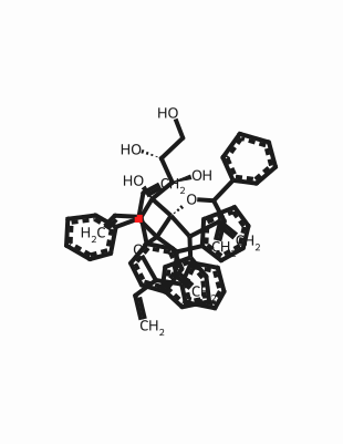 C=CC(OC(C(C=C)c1ccccc1)(C(C=C)c1ccccc1)[C@](OC(C=C)c1ccccc1)(C(C=C)c1ccccc1)[C@](O)(C(C=C)c1ccccc1)[C@H](O)[C@H](O)CO)c1ccccc1